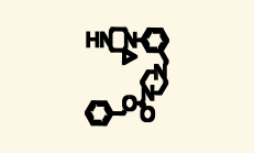 O=C(OCc1ccccc1)N1CCN(Cc2cccc(N3CCNCC34CC4)c2)CC1